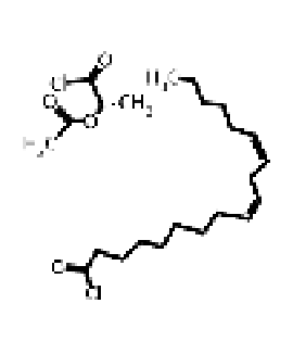 CC(=O)O[C@@H](C)C(=O)Cl.CCCCC/C=C\C/C=C\CCCCCCCC(=O)Cl